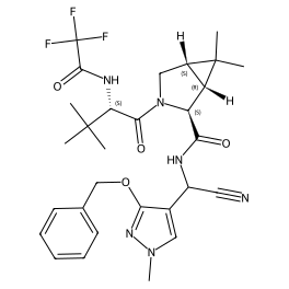 Cn1cc(C(C#N)NC(=O)[C@@H]2[C@@H]3[C@H](CN2C(=O)[C@@H](NC(=O)C(F)(F)F)C(C)(C)C)C3(C)C)c(OCc2ccccc2)n1